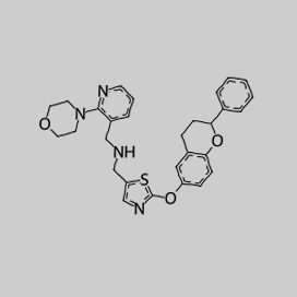 c1ccc(C2CCc3cc(Oc4ncc(CNCc5cccnc5N5CCOCC5)s4)ccc3O2)cc1